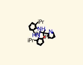 CC(C)c1cccc(C(C)C)c1NC(Nc1c(C(C)C)cccc1C(C)C)C(C)(C)c1ccccn1